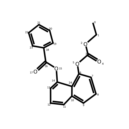 CCOC(=O)Oc1cccc2cccc(OC(=O)c3ccccc3)c12